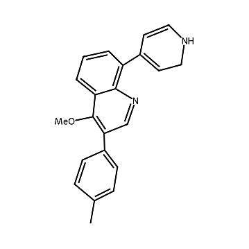 COc1c(-c2ccc(C)cc2)cnc2c(C3=CCNC=C3)cccc12